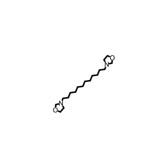 C(CCCCCCN1CCOC1)CCCCCN1CCOC1